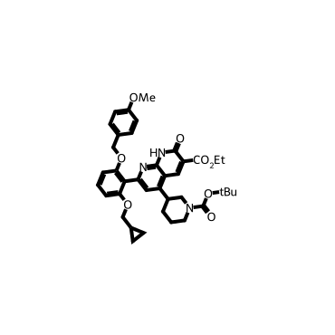 CCOC(=O)c1cc2c(C3CCCN(C(=O)OC(C)(C)C)C3)cc(-c3c(OCc4ccc(OC)cc4)cccc3OCC3CC3)nc2[nH]c1=O